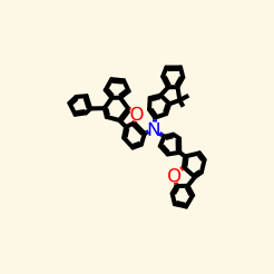 CC1(C)c2ccccc2-c2ccc(N(c3ccc(-c4cccc5c4oc4ccccc45)cc3)c3cccc4c3oc3c5ccccc5c(-c5ccccc5)cc43)cc21